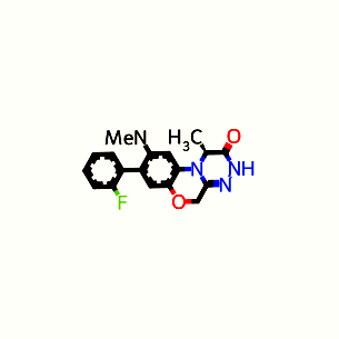 CNc1cc2c(cc1-c1ccccc1F)OCC1=NNC(=O)[C@H](C)N12